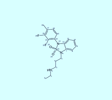 CCNCCCN1c2ccccc2N(c2ccc(C)c(F)c2F)S1(=O)=O